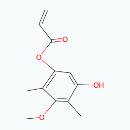 C=CC(=O)Oc1cc(O)c(C)c(OC)c1C